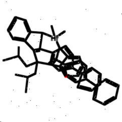 CC(C)CC1(CC(C)C)C2=C(c3ccc(-c4ccccc4)cc3)[CH](c3ccccc32)[Hf]([CH3])([CH3])[CH]2C(c3ccc(-c4ccccc4)cc3)=C1c1ccccc12